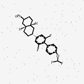 CCCC1CC[C@@H]2C[C@H](c3cc(F)c(-c4ccc(OC(F)F)cc4)c(F)c3)CC[C@@H]2C1